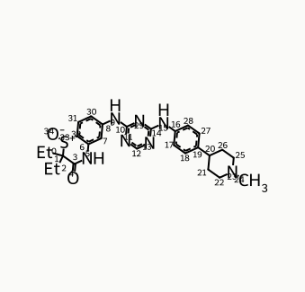 CCC1(CC)C(=O)Nc2cc(Nc3ncnc(Nc4ccc(C5CCN(C)CC5)cc4)n3)ccc2[S+]1[O-]